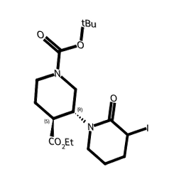 CCOC(=O)[C@H]1CCN(C(=O)OC(C)(C)C)C[C@@H]1N1CCCC(I)C1=O